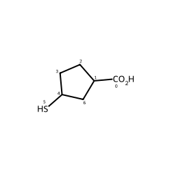 O=C(O)C1CCC(S)C1